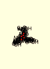 O=P([O][Mo](=[O])(=[O])[O][Mo](=[O])(=[O])[O][Mo](=[O])(=[O])[O][Mo](=[O])(=[O])[OH])([O][Mo](=[O])(=[O])[O][Mo](=[O])(=[O])[O][Mo](=[O])(=[O])[O][Mo](=[O])(=[O])[OH])[O][Mo](=[O])(=[O])[O][Mo](=[O])(=[O])[O][Mo](=[O])(=[O])[O][Mo](=[O])(=[O])[OH].[Ca+2].[K+]